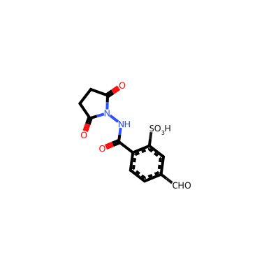 O=Cc1ccc(C(=O)NN2C(=O)CCC2=O)c(S(=O)(=O)O)c1